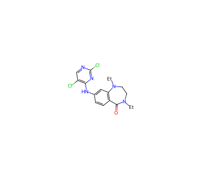 CCN1CCN(CC)c2cc(Nc3nc(Cl)ncc3Cl)ccc2C1=O